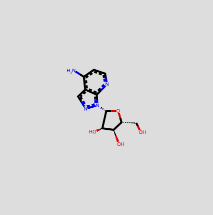 Nc1ccnc2c1cnn2[C@@H]1O[C@H](CO)[C@@H](O)[C@H]1O